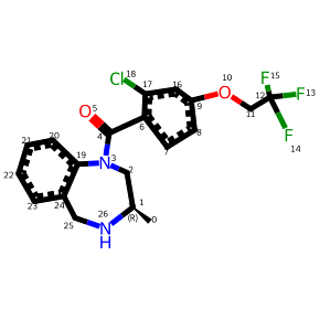 C[C@@H]1CN(C(=O)c2ccc(OCC(F)(F)F)cc2Cl)c2ccccc2CN1